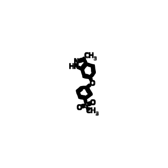 Cc1n[nH]c2cc(Oc3cccc(S(C)(=O)=O)c3)ccc12